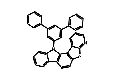 c1ccc(-c2cc(-c3ccccc3)cc(-n3c4ccccc4c4ccc5sc6ncccc6c5c43)c2)cc1